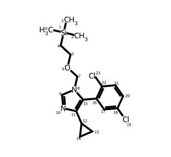 C[Si](C)(C)CCOCn1cnc(C2CC2)c1-c1cc(Cl)ccc1Cl